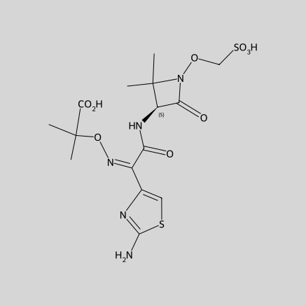 CC(C)(ON=C(C(=O)N[C@@H]1C(=O)N(OCS(=O)(=O)O)C1(C)C)c1csc(N)n1)C(=O)O